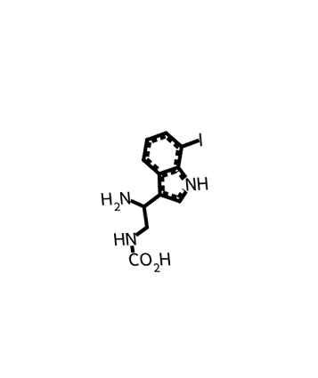 NC(CNC(=O)O)c1c[nH]c2c(I)cccc12